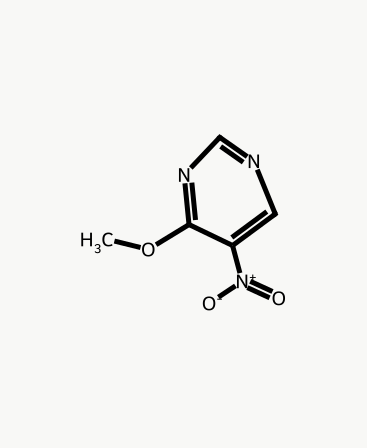 COc1ncncc1[N+](=O)[O-]